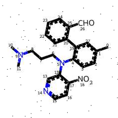 Cc1ccc(N(CCCN(C)C)c2cnccc2[N+](=O)[O-])c(-c2ccccc2C=O)c1